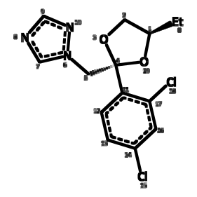 CC[C@@H]1CO[C@](Cn2cncn2)(c2ccc(Cl)cc2Cl)O1